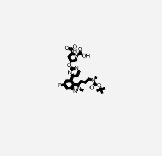 CN(CCCc1c2c(-c3ccnc(O[C@H]4C[C@@H](C(=O)O)N(C(=O)O)C4)n3)cc(F)cc2nn1C)C(=O)OC(C)(C)C